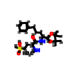 CC1(C)OB([C@H](CCCc2ccccc2)NC(=O)[C@@H](CCS(C)(=O)=O)NC(=O)O)OC1(C)C